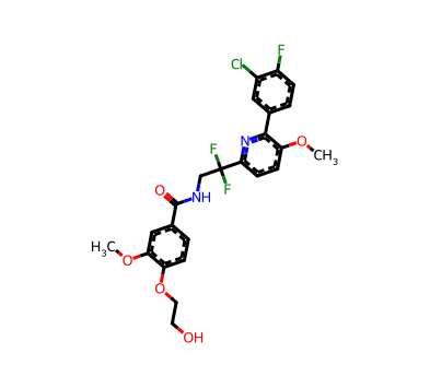 COc1cc(C(=O)NCC(F)(F)c2ccc(OC)c(-c3ccc(F)c(Cl)c3)n2)ccc1OCCO